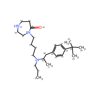 CCCN(CCCCN1CCNCCC1=O)C(C)Cc1ccc(C(C)(C)C)cc1